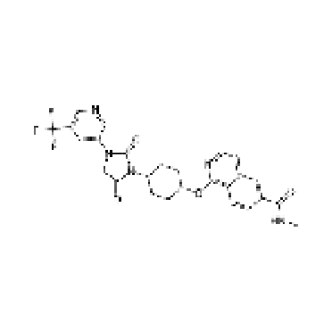 CNC(=O)c1ccc2c(OC3CCC(N4C(=O)CN(c5cncc(C(F)(F)F)c5)C4=O)CC3)ncnc2c1